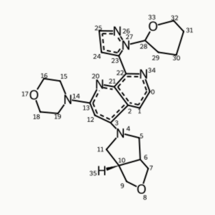 c1cc2c(N3CC4COC[C@@H]4C3)cc(N3CCOCC3)nc2c(-c2ccnn2C2CCCCO2)n1